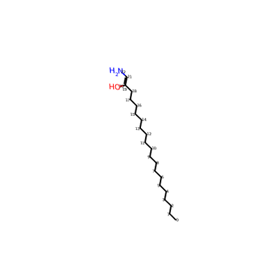 CCCCCCCCCCCCCCCCCCCC(O)=CN